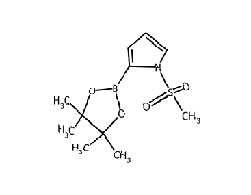 CC1(C)OB(c2cccn2S(C)(=O)=O)OC1(C)C